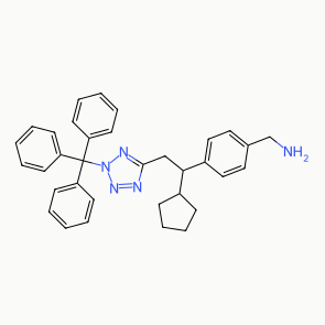 NCc1ccc(C(Cc2nnn(C(c3ccccc3)(c3ccccc3)c3ccccc3)n2)C2CCCC2)cc1